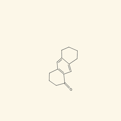 O=C1CCCc2cc3c(cc21)CCCC3